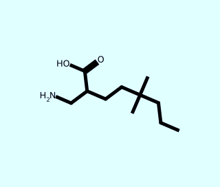 CCCC(C)(C)CCC(CN)C(=O)O